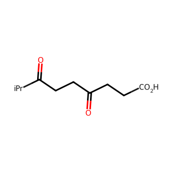 CC(C)C(=O)CCC(=O)CCC(=O)O